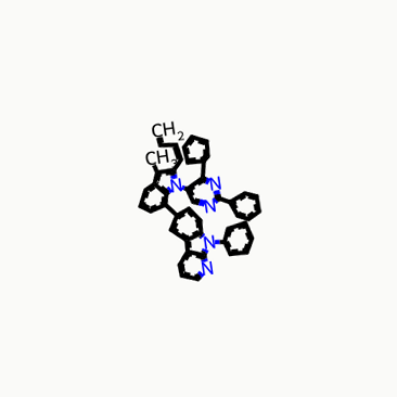 C=C/C=C\c1c(C)c2cccc(-c3ccc4c(c3)c3cccnc3n4-c3ccccc3)c2n1-c1cnc(-c2ccccc2)nc1-c1ccccc1